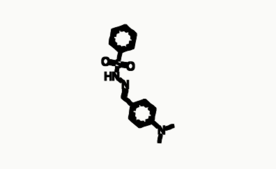 CN(C)c1ccc(C=NNS(=O)(=O)c2ccccc2)cc1